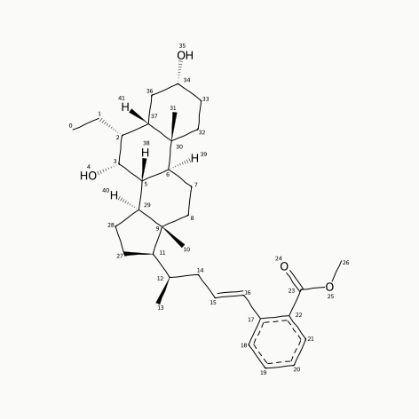 CC[C@H]1[C@@H](O)[C@@H]2[C@H](CC[C@]3(C)[C@@H]([C@H](C)C/C=C/c4ccccc4C(=O)OC)CC[C@@H]23)[C@@]2(C)CC[C@@H](O)C[C@@H]12